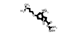 CNC(N)=NC(=O)c1cc2c(C)cc(OCCCN(C)C)cc2[nH]1.Cl